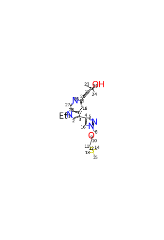 CCn1cc(-c2cnn(COCCS(C)(C)C)c2)c2cc(C#CC(C)(C)O)ncc21